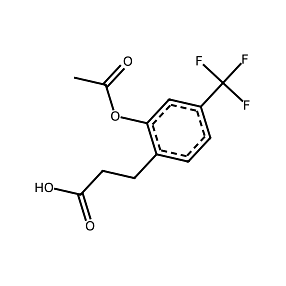 CC(=O)Oc1cc(C(F)(F)F)ccc1CCC(=O)O